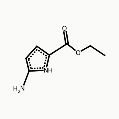 CCOC(=O)c1ccc(N)[nH]1